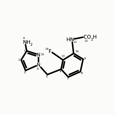 Nc1ccn(Cc2cccc(NC(=O)O)c2F)n1